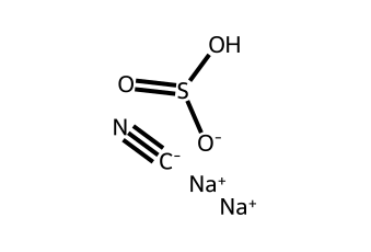 O=S([O-])O.[C-]#N.[Na+].[Na+]